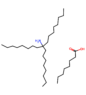 CCCCCCCC(=O)O.CCCCCCCCC(N)(CCCCCCCC)CCCCCCCC